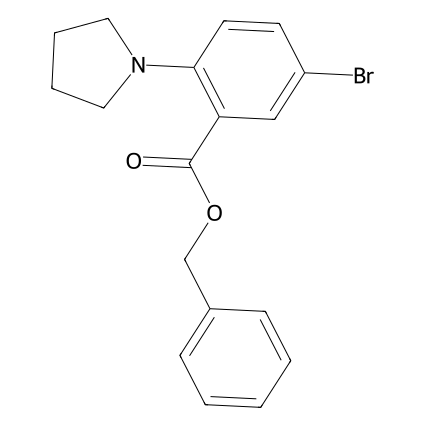 O=C(OCc1ccccc1)c1cc(Br)ccc1N1CCCC1